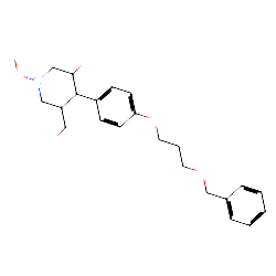 O=C(O)ON1CC(O)C(c2ccc(OCCCOCc3ccccc3)cc2)C(CO)C1